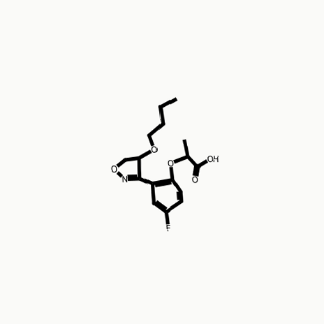 CCCCOC1CON=C1c1cc(F)ccc1OC(C)C(=O)O